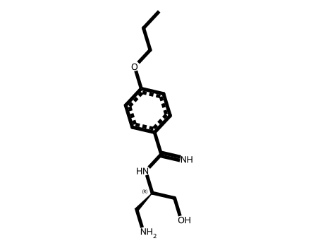 CCCOc1ccc(C(=N)N[C@H](CN)CO)cc1